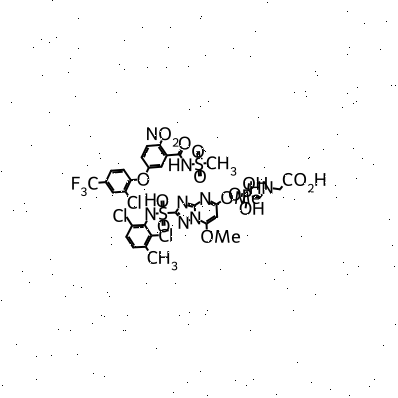 COc1cc(OC)n2nc(S(=O)(=O)Nc3c(Cl)ccc(C)c3Cl)nc2n1.CS(=O)(=O)NC(=O)c1cc(Oc2ccc(C(F)(F)F)cc2Cl)ccc1[N+](=O)[O-].O=C(O)CNCP(=O)(O)O